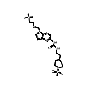 C[Si](C)(C)CCOCn1ccc2nc(NC(=O)NCCC3CCN(S(C)(=O)=O)CC3)cnc21